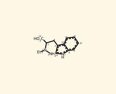 CCN(N)C(Cc1c[nH]c2ccccc12)C(=O)O